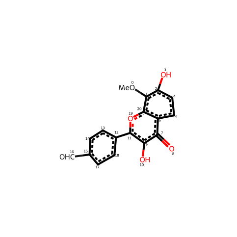 COc1c(O)ccc2c(=O)c(O)c(-c3ccc(C=O)cc3)oc12